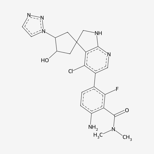 CN(C)C(=O)c1c(N)ccc(-c2cnc3c(c2Cl)C2(CN3)CC(O)C(n3ccnn3)C2)c1F